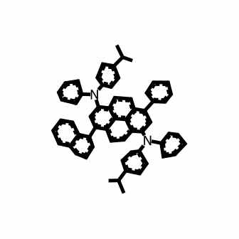 CC(C)c1ccc(N(c2ccccc2)c2cc(-c3ccccc3)c3ccc4c(N(c5ccccc5)c5ccc(C(C)C)cc5)cc(-c5cccc6ccccc56)c5ccc2c3c54)cc1